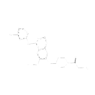 CCC(=O)N1CCC(Oc2cc3ncnc(Nc4cccc(Br)c4)c3cc2OC)CC1